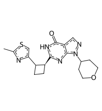 Cc1nc(C2CC[C@@H]2c2nc3c(cnn3C3CCOCC3)c(=O)[nH]2)cs1